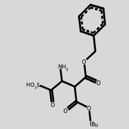 CC(C)(C)OC(=O)C(C(=O)OCc1ccccc1)C(N)C(=O)S(=O)(=O)O